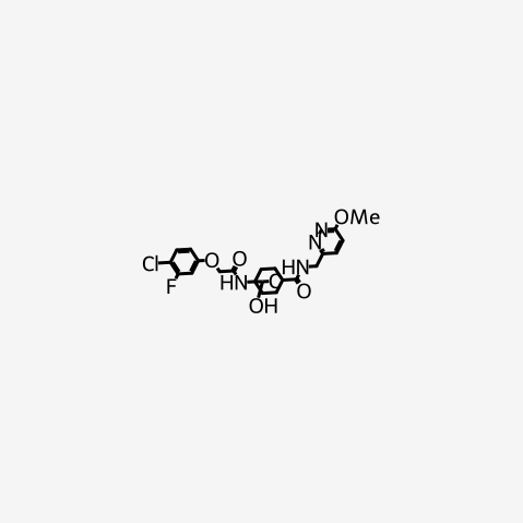 COc1ccc(CNC(=O)C23CCC(NC(=O)COc4ccc(Cl)c(F)c4)(CC2)C(O)C3)nn1